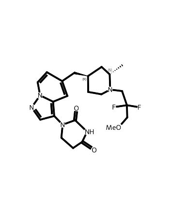 COCC(F)(F)CN1CC[C@@H](Cc2ccn3ncc(N4CCC(=O)NC4=O)c3c2)C[C@@H]1C